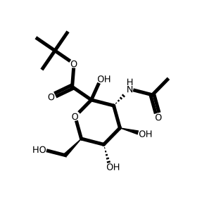 CC(=O)N[C@@H]1[C@@H](O)[C@H](O)[C@@H](CO)OC1(O)C(=O)OC(C)(C)C